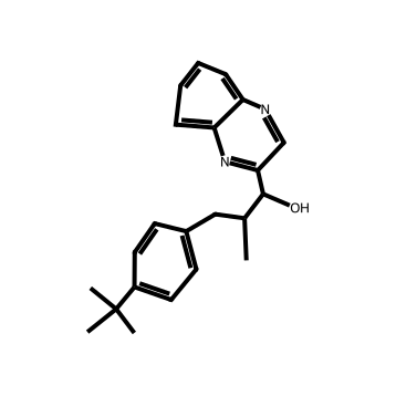 CC(Cc1ccc(C(C)(C)C)cc1)C(O)c1cnc2ccccc2n1